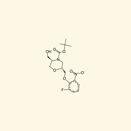 CC(C)(C)OC(=O)N1C[C@@H](COc2c(F)cccc2[N+](=O)[O-])OC[C@H]1CO